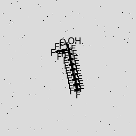 O=C(O)C(F)(C(F)(F)C(F)(F)F)C(F)(F)C(F)(F)C(F)(F)C(F)(F)C(F)(F)C(F)(F)C(F)(F)C(F)(F)F